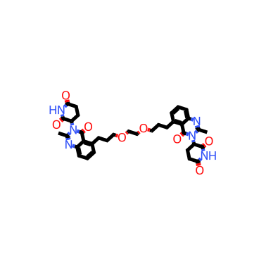 Cc1nc2cccc(CCCOCCOCCCc3cccc4nc(C)n(C5CCC(=O)NC5=O)c(=O)c34)c2c(=O)n1C1CCC(=O)NC1=O